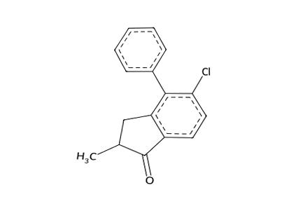 CC1Cc2c(ccc(Cl)c2-c2ccccc2)C1=O